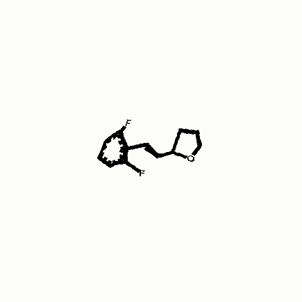 Fc1cccc(F)c1/C=C/C1CCCO1